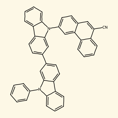 N#Cc1cc2ccc(-n3c4ccccc4c4ccc(-c5ccc6c7ccccc7n(-c7ccccc7)c6c5)cc43)cc2c2ccccc12